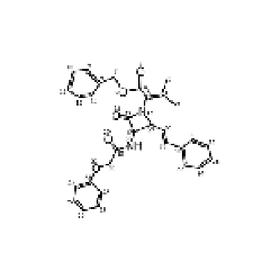 CC(C)=C(C(=O)OCc1ccccc1)N1C(=O)C(NC(=O)COc2ccccc2)C1C=Cc1ccccc1